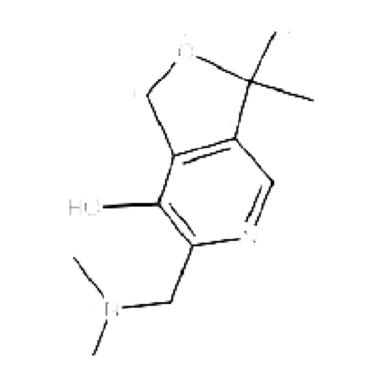 CN(C)Cc1ncc2c(c1O)COC2(C)C